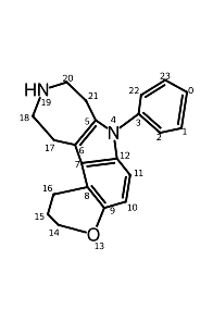 c1ccc(-n2c3c(c4c5c(ccc42)OCCC5)CCNCC3)cc1